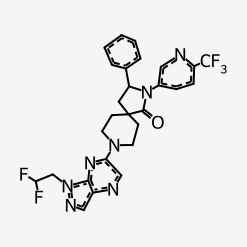 O=C1N(c2ccc(C(F)(F)F)nc2)C(c2ccccc2)CC12CCN(c1cnc3cnn(CC(F)F)c3n1)CC2